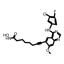 COc1cc2ncnc(Nc3ccc(F)c(Cl)c3)c2cc1C#CCCCCCC(=O)NO